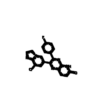 O=c1ccc2nc(-c3cc(Cl)c4nccn4c3)c(-c3ccc(F)cc3)nc2[nH]1